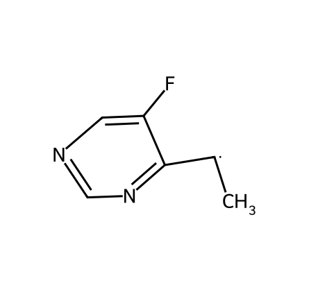 C[CH]c1ncncc1F